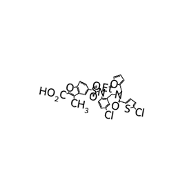 CCN(c1ccc(Cl)cc1CN(Cc1ccco1)C(=O)c1ccc(Cl)s1)S(=O)(=O)c1ccc2oc(C(=O)O)c(C)c2c1